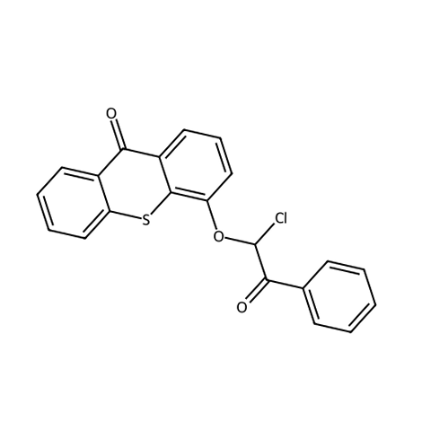 O=C(c1ccccc1)C(Cl)Oc1cccc2c(=O)c3ccccc3sc12